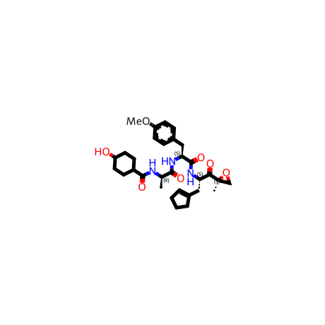 COc1ccc(C[C@H](NC(=O)[C@@H](C)NC(=O)C2CCC(O)CC2)C(=O)N[C@@H](CC2=CCCC2)C(=O)[C@]2(C)CO2)cc1